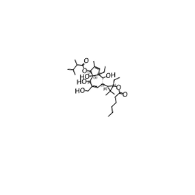 CCCCCC(=O)O[C@@]1(CC)[C@H]([C@@H]2C=C(CO)[C@@H](O)[C@]3(O)[C@@H](OC(=O)C(C)C(C)C)C(C)=C[C@]3(CC)C2O)C1(C)C